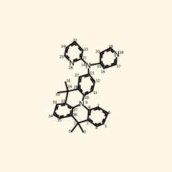 CC1(C)c2ccccc2N2c3ccc(N(c4ccncc4)c4ccccn4)cc3C(C)(C)c3cccc1c32